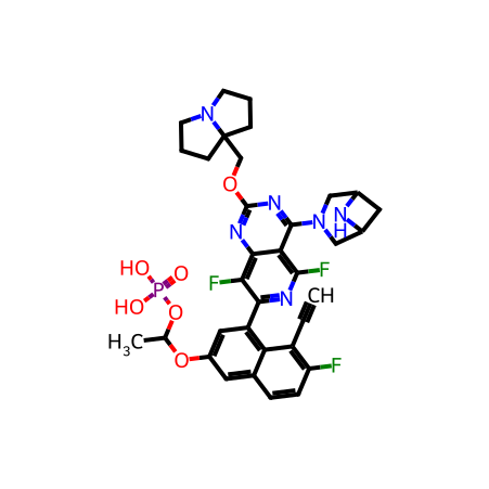 C#Cc1c(F)ccc2cc(OC(C)OP(=O)(O)O)cc(-c3nc(F)c4c(N5CC6CC(C5)N6)nc(OCC56CCCN5CCC6)nc4c3F)c12